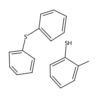 Cc1ccccc1S.c1ccc(Sc2ccccc2)cc1